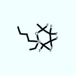 CCCC[Si]1(CC)OC(C)(F)C(F)(F)C(F)(F)C1(F)F